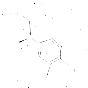 Cc1cc([C@@H](Cl)CC=O)ccc1O